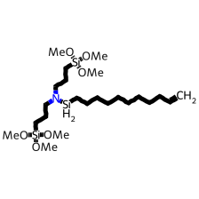 C=CCCCCCCCCC[SiH2]N(CCC[Si](OC)(OC)OC)CCC[Si](OC)(OC)OC